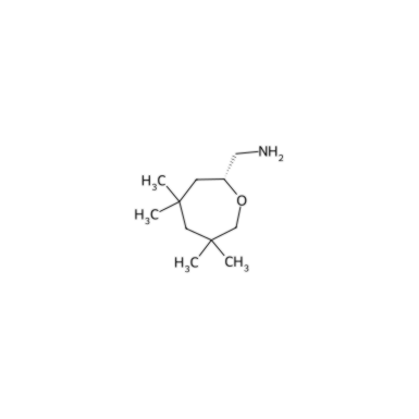 CC1(C)CO[C@@H](CN)CC(C)(C)C1